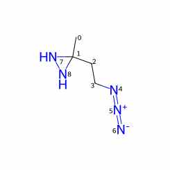 CC1(CCN=[N+]=[N-])NN1